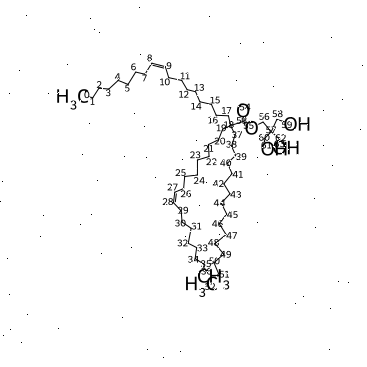 CCCCCCCC/C=C\CCCCCCCCC(CCCCCCCC/C=C\CCCCCCCC)(CCCCCCCCCCCCCCCC)C(=O)OCC(CO)(CO)CO